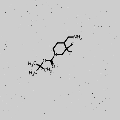 CC(C)(C)OC(=O)N1CCC(CN)C(F)(F)C1